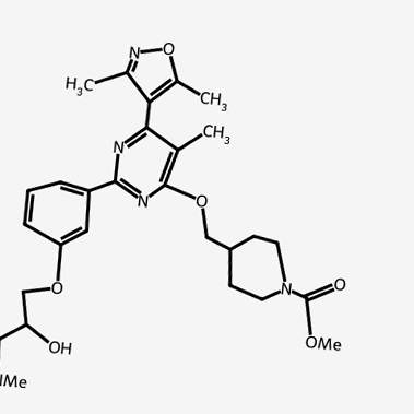 CNCC(O)COc1cccc(-c2nc(OCC3CCN(C(=O)OC)CC3)c(C)c(-c3c(C)noc3C)n2)c1